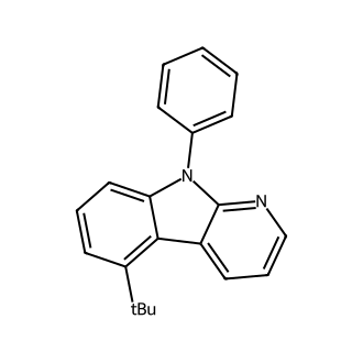 CC(C)(C)c1cccc2c1c1cccnc1n2-c1ccccc1